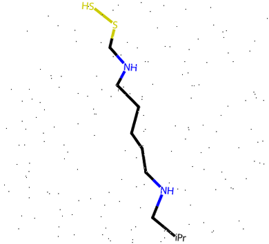 CC(C)CNCCCCCNCSS